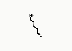 [NH]CCCCC=O